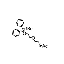 CC(=O)SCCOCCO[Si](c1ccccc1)(c1ccccc1)C(C)(C)C